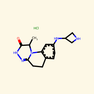 CC1C(=O)NN=C2CCc3ccc(NC4CNC4)cc3N21.Cl